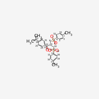 Cc1ccc(S(=O)(=O)CC(CS(=O)(=O)c2ccc(C)cc2)C(=O)c2ccc(C(C)C)cc2)cc1